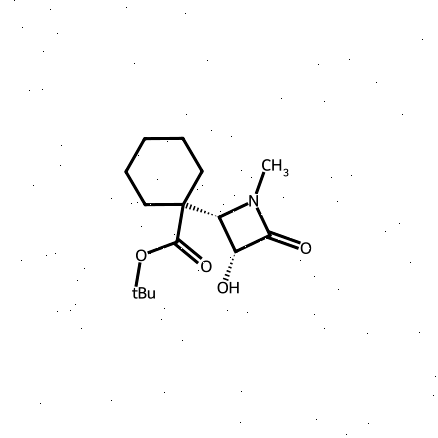 CN1C(=O)[C@H](O)[C@@H]1C1(C(=O)OC(C)(C)C)CCCCC1